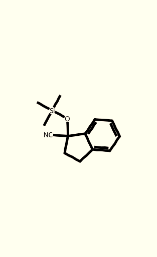 C[Si](C)(C)OC1(C#N)CCc2ccccc21